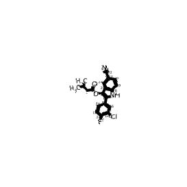 CC(C)CC(=O)Oc1c(-c2ccc(F)c(Cl)c2)[nH]c2ccc(C#N)cc12